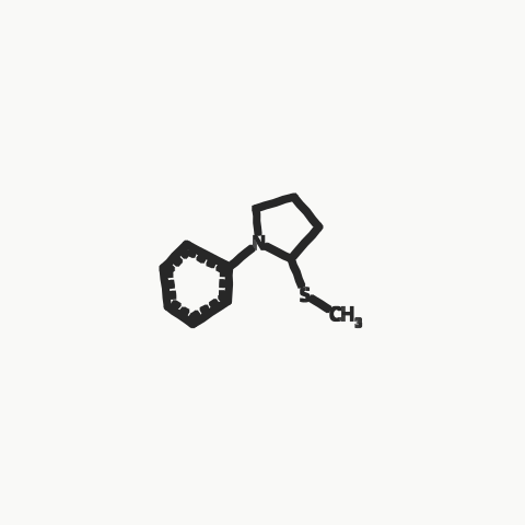 CSC1CCCN1c1ccccc1